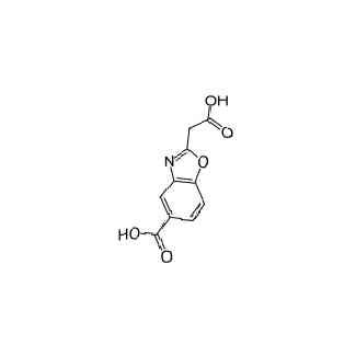 O=C(O)Cc1nc2cc(C(=O)O)ccc2o1